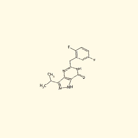 CC(C)c1n[nH]c2c(=O)[nH]c(Cc3cc(F)ccc3F)nc12